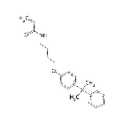 C=CC(=O)NCCCCOc1ccc(C(C)(C)c2ccccc2)cc1